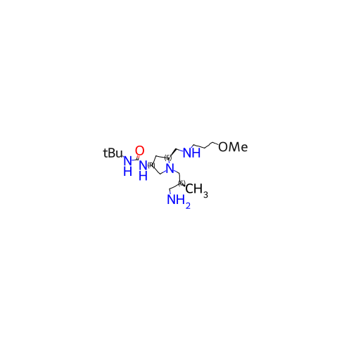 COCCCNC[C@@H]1C[C@@H](NC(=O)NC(C)(C)C)CN1C[C@@H](C)CN